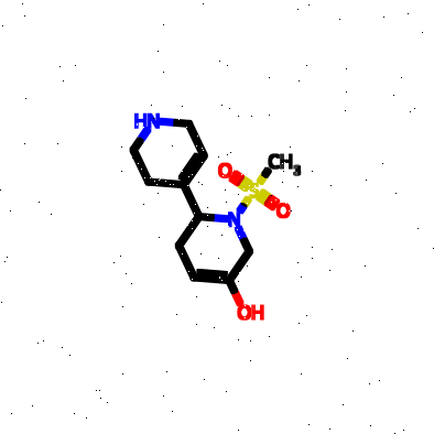 CS(=O)(=O)N1CC(O)=CCC1C1=CCNCC1